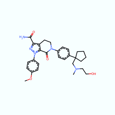 COc1ccc(-n2nc(C(N)=O)c3c2C(=O)N(c2ccc(C4(CN(C)CCO)CCCC4)cc2)CC3)cc1